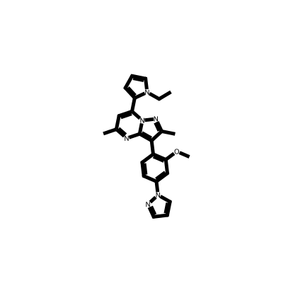 CCn1cccc1-c1cc(C)nc2c(-c3ccc(-n4cccn4)cc3OC)c(C)nn12